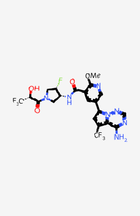 COc1ncc(-c2cc(C(F)(F)F)c3c(N)ncnn23)cc1C(=O)N[C@@H]1CN(C(=O)[C@@H](O)C(F)(F)F)C[C@@H]1F